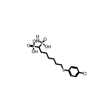 O=P(O)(O)C(CCCCCCSc1ccc(Cl)cc1)P(=O)(O)O